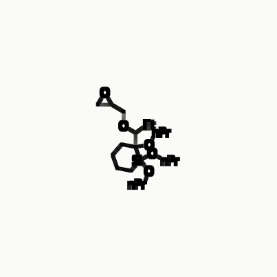 CCCOC1(C(CC)OCC2CO2)CCCC[Si]1(OCCC)OCCC